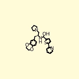 OC(N[C@@H](Cc1ccc2c(c1)OCCO2)CN1CCCC1)c1ccc(-c2ccccn2)s1